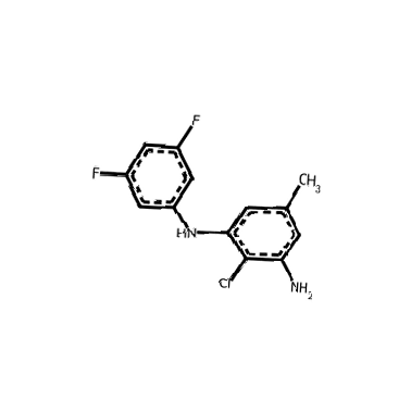 Cc1cc(N)c(Cl)c(Nc2cc(F)cc(F)c2)c1